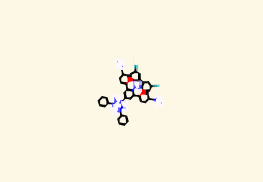 N#Cc1ccc(-c2cc(-c3nc(-c4ccccc4)nc(-c4ccccc4)n3)cc(-c3ccc(C#N)cc3)c2-n2c3ccc(C(F)(F)F)cc3c3cc(C(F)(F)F)ccc32)cc1